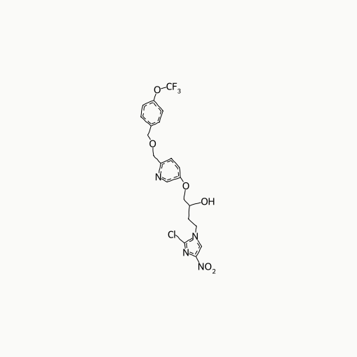 O=[N+]([O-])c1cn(CCC(O)COc2ccc(COCc3ccc(OC(F)(F)F)cc3)nc2)c(Cl)n1